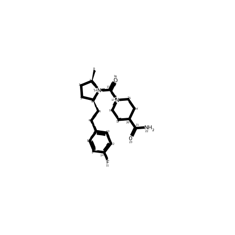 C[C@@H]1CC[C@H](CCc2ccc(F)cc2)N1C(=O)N1CCC(C(N)=O)CC1